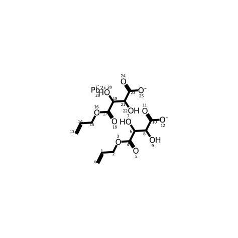 C=CCOC(=O)C(O)C(O)C(=O)[O-].C=CCOC(=O)C(O)C(O)C(=O)[O-].[Pb+2]